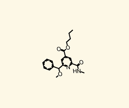 CCCCOC(=O)c1cc(C(=O)NC)nc(C(OC)c2ccccc2)c1